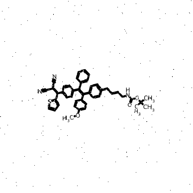 COc1ccc(C(=C(c2ccccc2)c2ccc(C(=C(C#N)C#N)c3cccs3)cc2)c2ccc(CCCCNC(=O)OC(C)(C)C)cc2)cc1